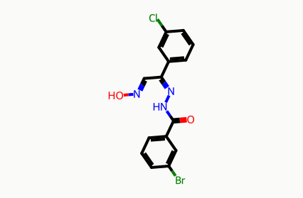 O=C(NN=C(C=NO)c1cccc(Cl)c1)c1cccc(Br)c1